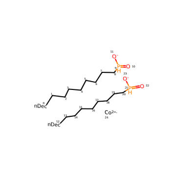 CCCCCCCCCCCCCCCCCC[PH](=O)[O-].CCCCCCCCCCCCCCCCCC[PH](=O)[O-].[Co+2]